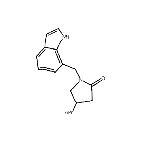 CCCC1CC(=O)N(Cc2cccc3cc[nH]c23)C1